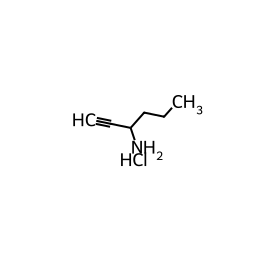 C#CC(N)CCC.Cl